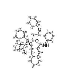 O=C(Nc1ccccc1)c1cc2ccccc2c2c1OC1(C=N2)N(CCCOc2ccccc2)c2ccccc2C12CCCCC2